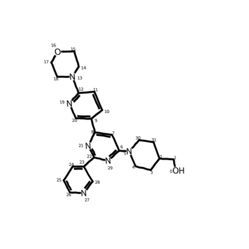 OCC1CCN(c2cc(-c3ccc(N4CCOCC4)nc3)nc(-c3cccnc3)n2)CC1